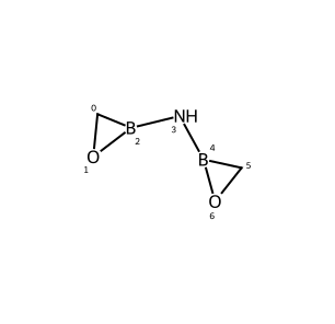 C1OB1NB1CO1